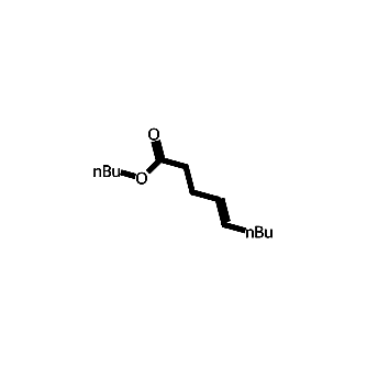 CCCCC=CCCC(=O)OCCCC